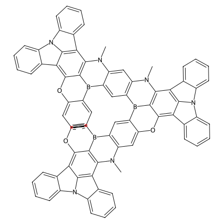 CN1c2cc3c(cc2B2c4ccccc4Oc4c2c1c1c2ccccc2n2c5ccccc5c4c12)B1c2cc4c(cc2N(C)c2c1c(c1c5ccccc5n5c6ccccc6c2c15)O3)N(C)c1c2c(c3c5ccccc5n5c6ccccc6c1c35)Oc1ccccc1B42